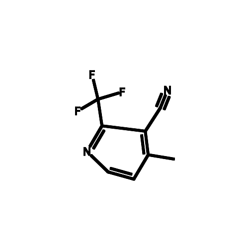 Cc1ccnc(C(F)(F)F)c1C#N